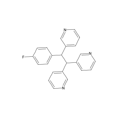 Fc1ccc(C(c2cccnc2)C(c2cccnc2)c2cccnc2)cc1